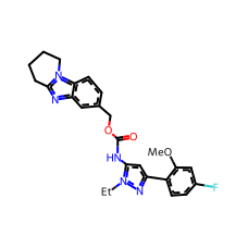 CCn1nc(-c2ccc(F)cc2OC)cc1NC(=O)OCc1ccc2c(c1)nc1n2CCCC1